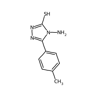 Cc1ccc(-c2nnc(S)n2N)cc1